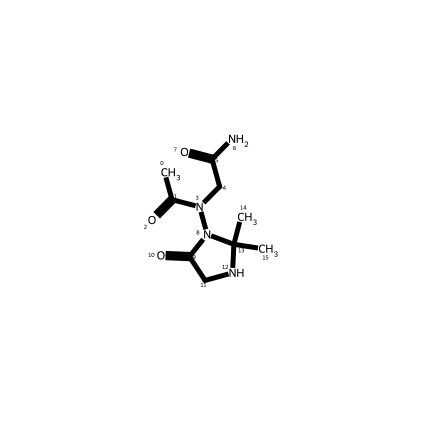 CC(=O)N(CC(N)=O)N1C(=O)CNC1(C)C